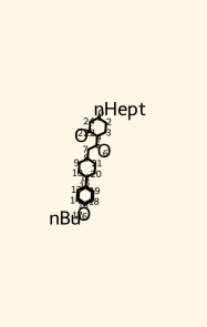 CCCCCCCC1CCC(C(=O)CC2CCC(c3ccc(OCCCC)cc3)CC2)C(=O)C1